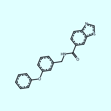 O=C(NCc1cccc(Oc2ccccc2)c1)c1ccc2ncsc2c1